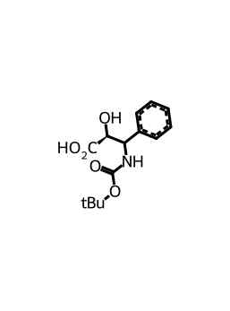 CC(C)(C)OC(=O)NC(c1ccccc1)[C@H](O)C(=O)O